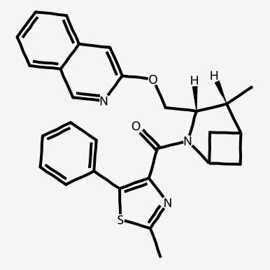 Cc1nc(C(=O)N2C3CC(C3)[C@@H](C)[C@H]2COc2cc3ccccc3cn2)c(-c2ccccc2)s1